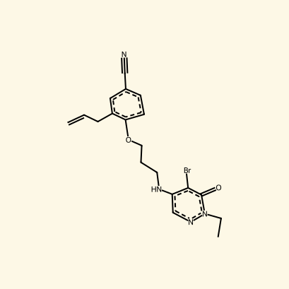 C=CCc1cc(C#N)ccc1OCCCNc1cnn(CC)c(=O)c1Br